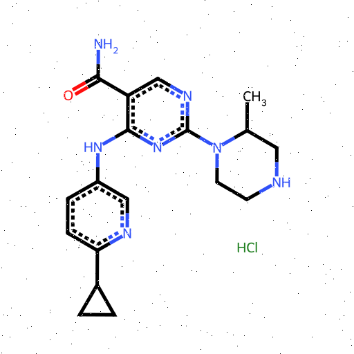 CC1CNCCN1c1ncc(C(N)=O)c(Nc2ccc(C3CC3)nc2)n1.Cl